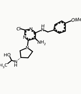 COc1ccc(CNc2nc(Cl)nc(N3CC[C@H](NC(C)O)C3)c2N)cc1